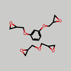 C(OCC1CO1)C1CO1.c1cc(OCC2CO2)cc(OCC2CO2)c1